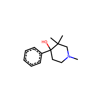 CN1CCC(O)(c2ccccc2)C(C)(C)C1